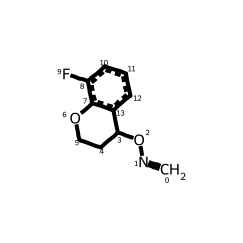 C=NOC1CCOc2c(F)cccc21